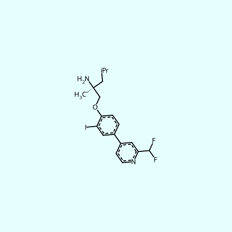 CC(C)C[C@](C)(N)COc1ccc(-c2ccnc(C(F)F)c2)cc1I